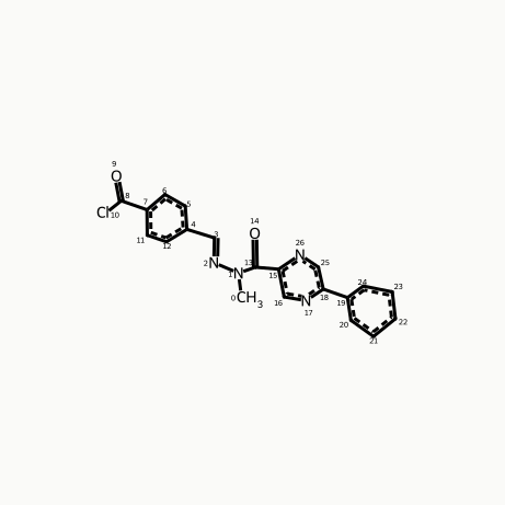 CN(/N=C/c1ccc(C(=O)Cl)cc1)C(=O)c1cnc(-c2ccccc2)cn1